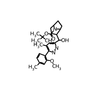 COc1cc(C)ccc1-c1nnc(C(O)C2CCC3CCC2N3C(=O)OC(C)(C)C)cc1C